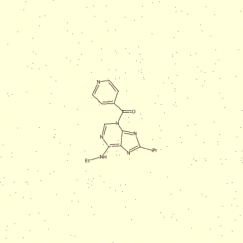 CCNc1ncn(C(=O)c2ccncc2)c2nc(C(C)C)nc1-2